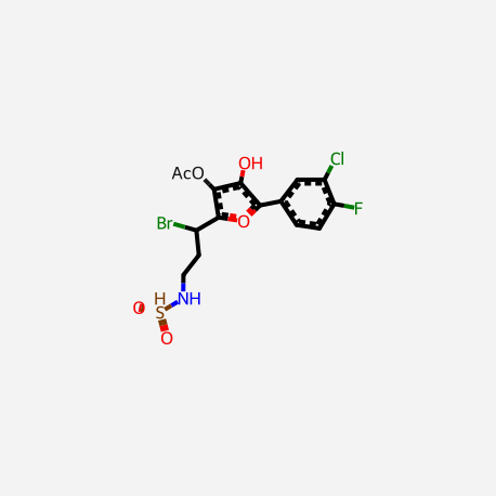 CC(=O)Oc1c(C(Br)CCN[SH](=O)=O)oc(-c2ccc(F)c(Cl)c2)c1O